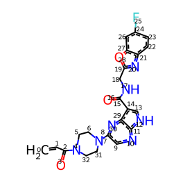 C=CC(=O)N1CCN(c2cnc3[nH]cc(C(=O)NCc4nc5ccc(F)cc5o4)c3n2)CC1